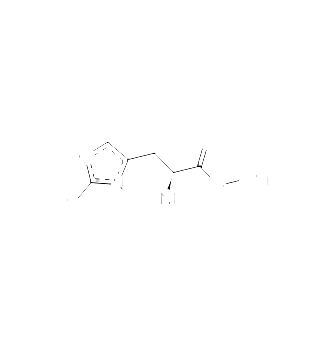 CC(C)(C)OC(=O)[C@@H](N)Cc1coc(Br)n1